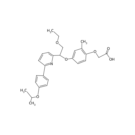 CCOCC(Oc1ccc(OCC(=O)O)c(C)c1)c1cccc(-c2ccc(OC(C)C)cc2)n1